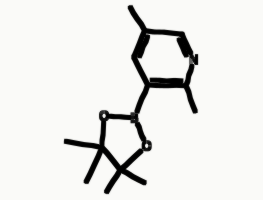 Cc1cnc(C)c(B2OC(C)(C)C(C)(C)O2)c1